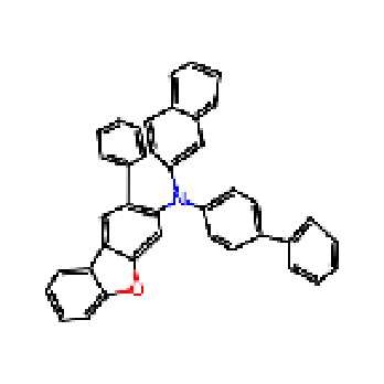 c1ccc(-c2ccc(N(c3ccc4ccccc4c3)c3cc4oc5ccccc5c4cc3-c3ccccc3)cc2)cc1